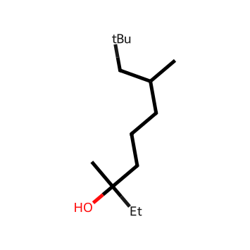 CCC(C)(O)CCCC(C)CC(C)(C)C